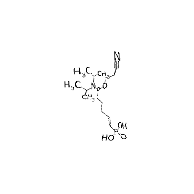 CC(C)N(C(C)C)P(CCC/C=C/P(=O)(O)O)OCCC#N